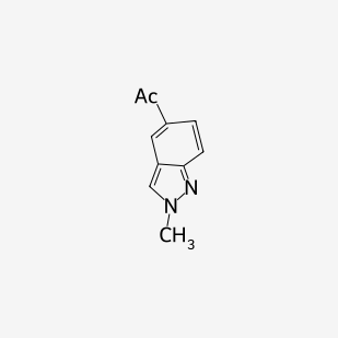 CC(=O)c1ccc2nn(C)cc2c1